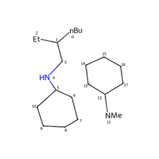 CCCCC(CC)CNC1CCCCC1.CNC1CCCCC1